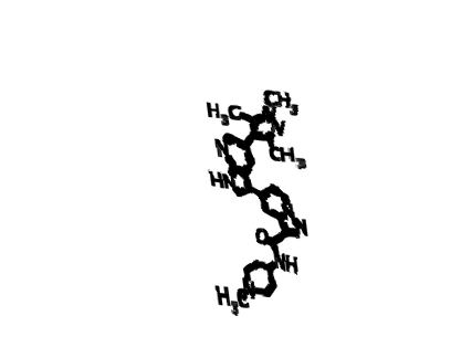 Cc1nn(C)c(C)c1-c1cnc2[nH]cc(-c3ccn4ncc(C(=O)NC5CCN(C)CC5)c4c3)c2c1